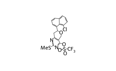 CSc1nc2c(c(OS(=O)(=O)C(F)(F)F)n1)COC(c1cccc3cccc(Cl)c13)C2